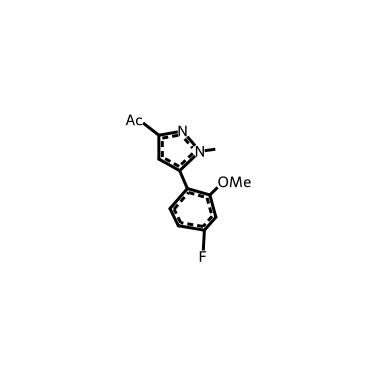 COc1cc(F)ccc1-c1cc(C(C)=O)nn1C